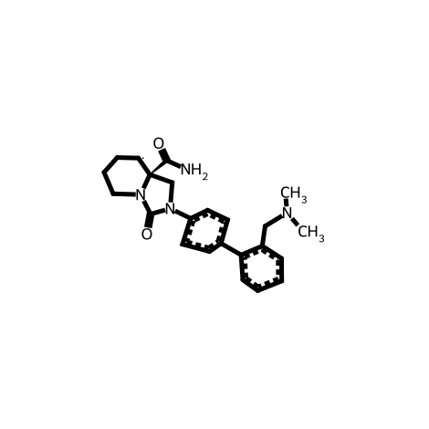 CN(C)Cc1ccccc1-c1ccc(N2C[C@@]3(C(N)=O)[CH]CCCN3C2=O)cc1